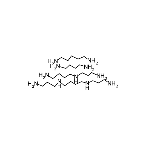 NCCCCCN.NCCCCN.NCCCCNCCCN.NCCCNCCCCNCCCN